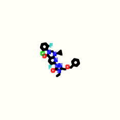 CCn1c(COCc2ccccc2)nn(-c2nc3c(cc2F)C(=O)N(c2c(F)cccc2Cl)CN3C2CC2)c1=O